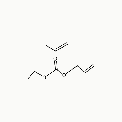 C=CC.C=CCOC(=O)OCC